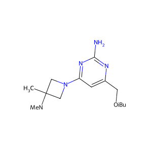 CNC1(C)CN(c2cc(COCC(C)C)nc(N)n2)C1